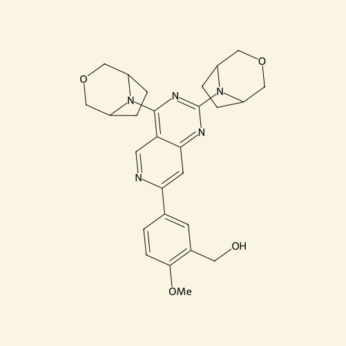 COc1ccc(-c2cc3nc(N4C5CCC4COC5)nc(N4C5CCC4COC5)c3cn2)cc1CO